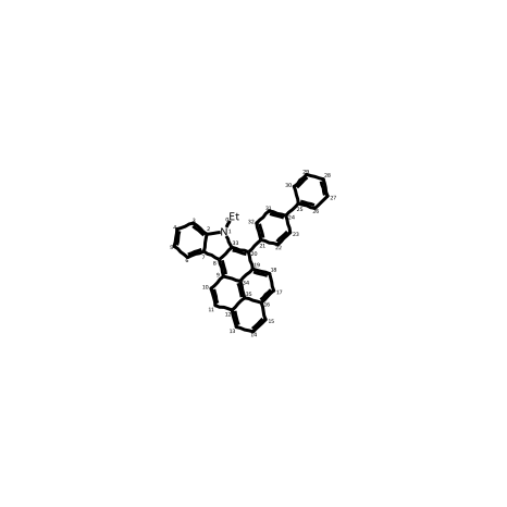 CCn1c2ccccc2c2c3ccc4cccc5ccc(c(-c6ccc(-c7ccccc7)cc6)c21)c3c54